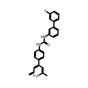 C=C/C=C(\C=C(\C)N)c1ccc(NC(=O)Nc2cccc(-c3cccc(F)c3)c2)cc1